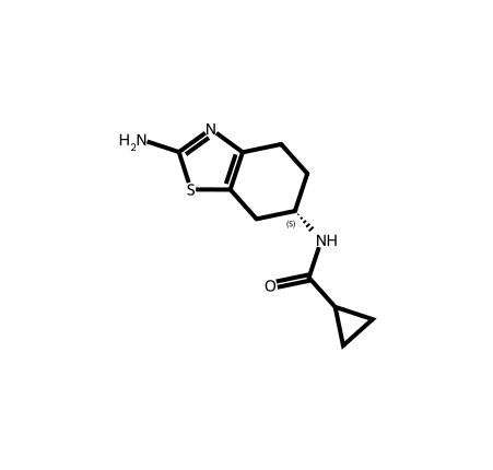 Nc1nc2c(s1)C[C@@H](NC(=O)C1CC1)CC2